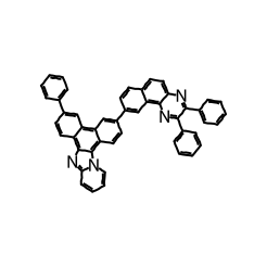 c1ccc(-c2ccc3c(c2)c2cc(-c4ccc5ccc6nc(-c7ccccc7)c(-c7ccccc7)nc6c5c4)ccc2c2c3nc3ccccn32)cc1